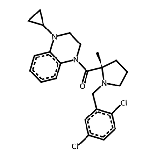 C[C@@]1(C(=O)N2CCN(C3CC3)c3ccccc32)CCCN1Cc1cc(Cl)ccc1Cl